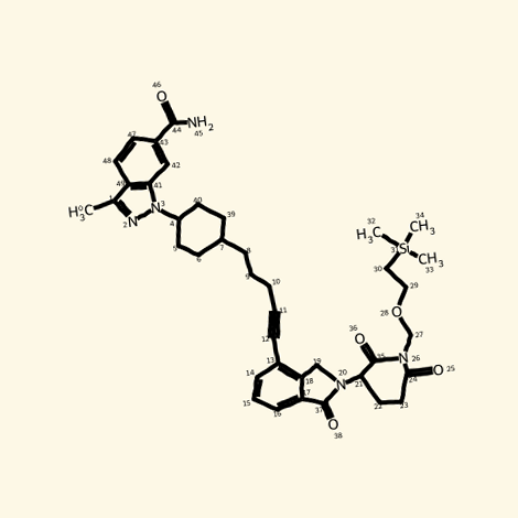 Cc1nn(C2CCC(CCCC#Cc3cccc4c3CN(C3CCC(=O)N(COCC[Si](C)(C)C)C3=O)C4=O)CC2)c2cc(C(N)=O)ccc12